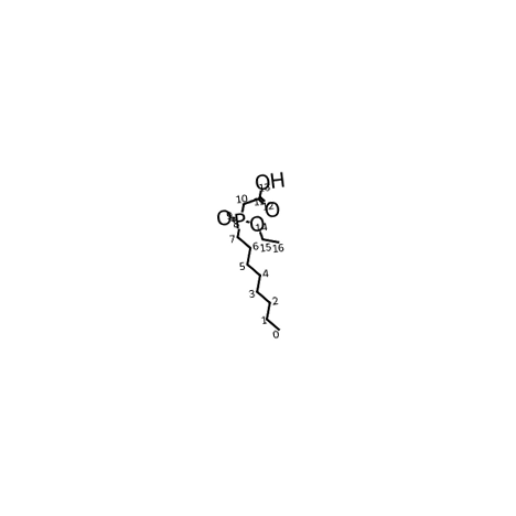 CCCCCCCCP(=O)(CC(=O)O)OCC